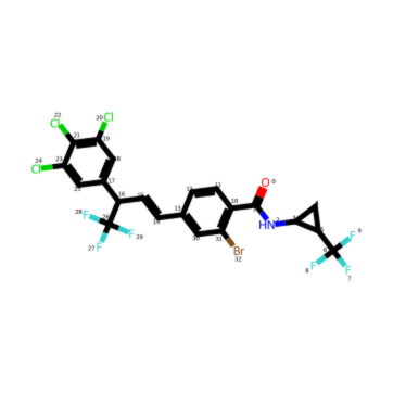 O=C(NC1CC1C(F)(F)F)c1ccc(/C=C/C(c2cc(Cl)c(Cl)c(Cl)c2)C(F)(F)F)cc1Br